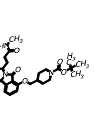 CNC(=O)CCC(C=O)N1C(=O)c2cccc(OCC3CCN(C(=O)OC(C)(C)C)CC3)c2C1=O